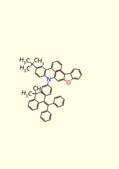 CC(C)(C)c1ccc(N(c2ccc3c(c2)C(C)(C)c2ccccc2C3=C(c2ccccc2)c2ccccc2)c2ccc3c(c2)oc2ccccc23)c(-c2ccccc2)c1